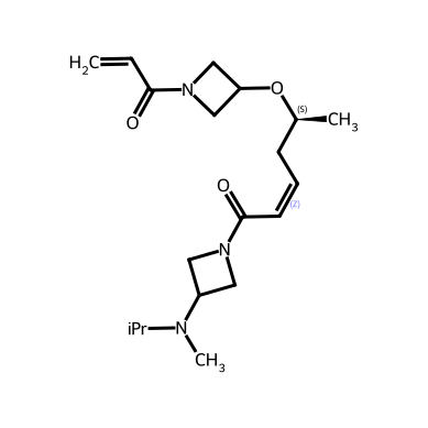 C=CC(=O)N1CC(O[C@@H](C)C/C=C\C(=O)N2CC(N(C)C(C)C)C2)C1